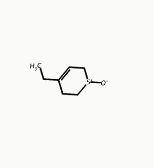 CCC1=CC[S+]([O-])CC1